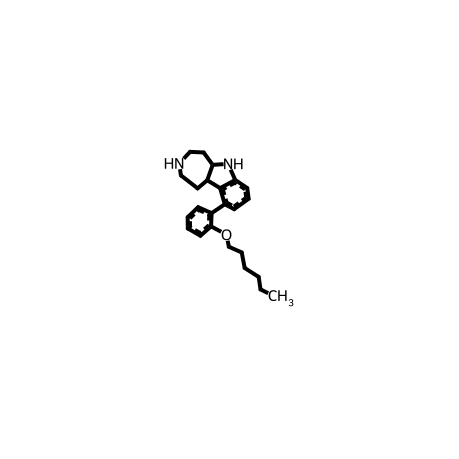 CCCCCCOc1ccccc1-c1cccc2c1C1CCNCCC1N2